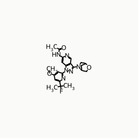 COc1cc(-n2nc(N3CC4CC3CO4)c3cnc(NC(C)=O)cc32)nc(C(C)(C)F)c1